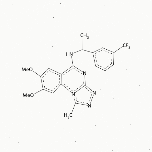 COc1cc2c(NC(C)c3cccc(C(F)(F)F)c3)nc3nnc(C)n3c2cc1OC